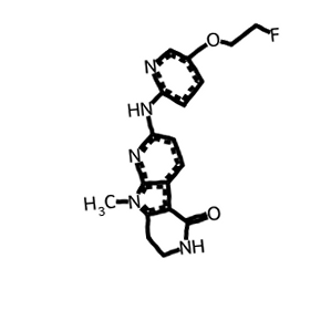 Cn1c2c(c3ccc(Nc4ccc(OCCF)cn4)nc31)C(=O)NCC2